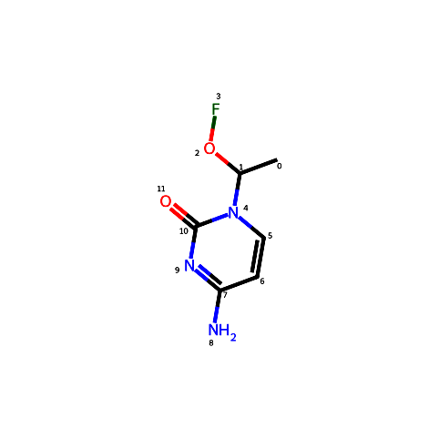 CC(OF)n1ccc(N)nc1=O